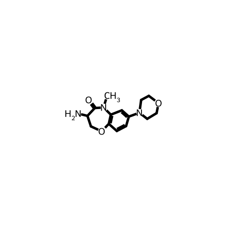 CN1C(=O)C(N)COc2ccc(N3CCOCC3)cc21